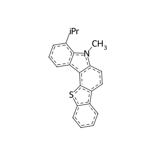 CC(C)c1cccc2c3c4sc5ccccc5c4ccc3n(C)c12